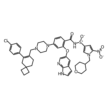 O=C(N[S+]([O-])c1cc([N+](=O)[O-])n(CC2CCOCC2)c1)c1ccc(N2CCN(CC3=C(c4ccc(Cl)cc4)CC4(CCC4)CC3)CC2)cc1Oc1cnc2[nH]ccc2c1